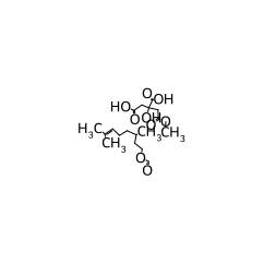 CC(C)=CCCC(C)CCOC=O.COC(=O)CC(O)(CC(=O)O)C(=O)O